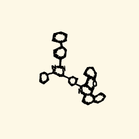 c1ccc(-c2ccc(-c3nc(-c4ccccc4)cc(-c4ccc(-c5nc6ccc7ccccc7c6c6oc7ccccc7c56)cc4)n3)cc2)cc1